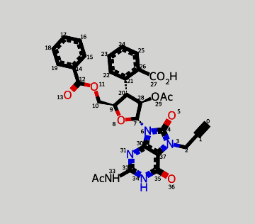 C#CCn1c(=O)n([C@@H]2O[C@@H](COC(=O)c3ccccc3)[C@H](c3ccccc3C(=O)O)[C@H]2OC(C)=O)c2nc(NC(C)=O)[nH]c(=O)c21